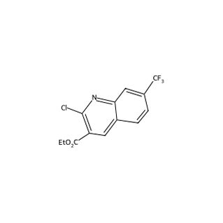 CCOC(=O)c1cc2ccc(C(F)(F)F)cc2nc1Cl